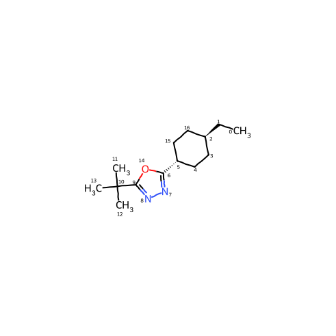 CC[C@H]1CC[C@H](c2nnc(C(C)(C)C)o2)CC1